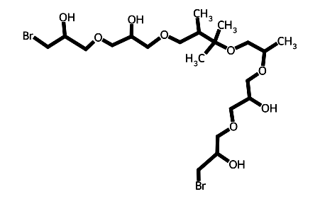 CC(COC(C)(C)C(C)COCC(O)COCC(O)CBr)OCC(O)COCC(O)CBr